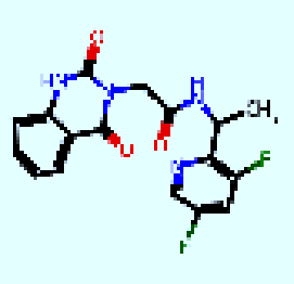 CC(NC(=O)Cn1c(=O)[nH]c2ccccc2c1=O)c1ncc(F)cc1F